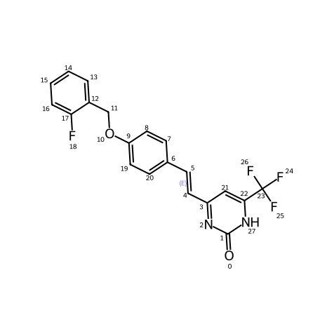 O=c1nc(/C=C/c2ccc(OCc3ccccc3F)cc2)cc(C(F)(F)F)[nH]1